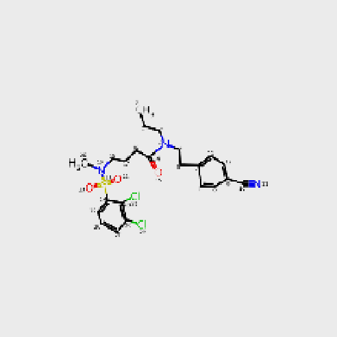 CCCN(CCc1ccc(C#N)cc1)C(=O)CCCN(C)S(=O)(=O)c1cccc(Cl)c1Cl